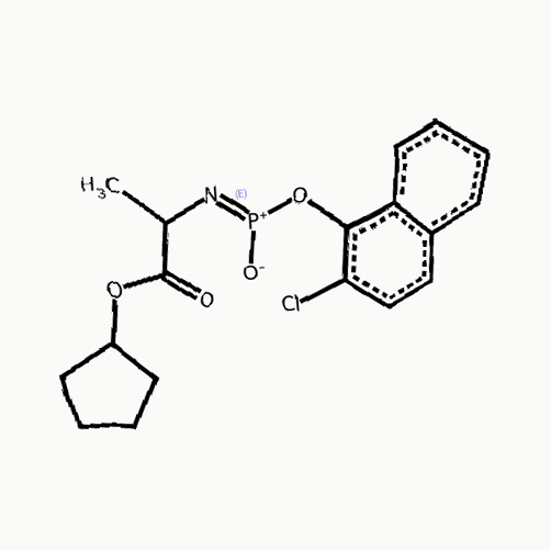 CC(/N=[P+](\[O-])Oc1c(Cl)ccc2ccccc12)C(=O)OC1CCCC1